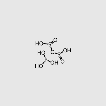 O=S(O)OS(=O)O.OP(O)O